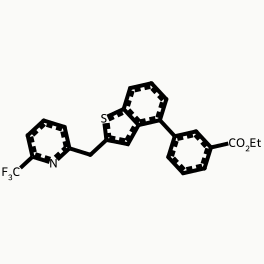 CCOC(=O)c1cccc(-c2cccc3sc(Cc4cccc(C(F)(F)F)n4)cc23)c1